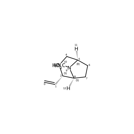 C=C[C@@H]1NC[C@H]2CC[C@@H]1N2C(=O)O